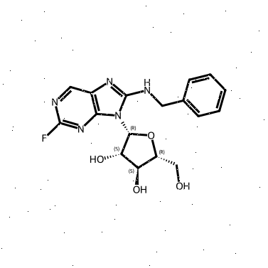 OC[C@H]1O[C@@H](n2c(NCc3ccccc3)nc3cnc(F)nc32)[C@@H](O)[C@@H]1O